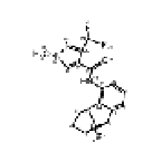 CC(C)C12C3CCC1C2c1cccc(NC(=O)c2cn(C)nc2C(F)F)c13